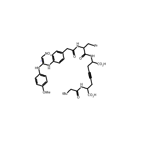 COc1ccc(N/C(=C/[N+](=O)[O-])Nc2ccc(CC(=O)NC(CC(C)C)C(=O)NC(CC#CCC(NC(=O)CC(C)(C)C)C(=O)O)C(=O)O)cc2)cc1